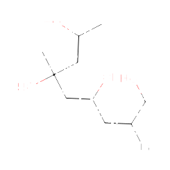 CCC(CO)CC(O)CC(C)(O)CC(C)O